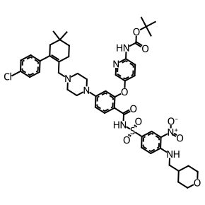 CC1(C)CCC(CN2CCN(c3ccc(C(=O)NS(=O)(=O)c4ccc(NCC5CCOCC5)c([N+](=O)[O-])c4)c(Oc4ccc(NC(=O)OC(C)(C)C)nc4)c3)CC2)=C(c2ccc(Cl)cc2)C1